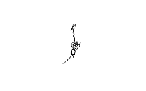 CCCCCCCOc1ccc(S(=O)(=O)NCCCCCCN=C=O)cc1